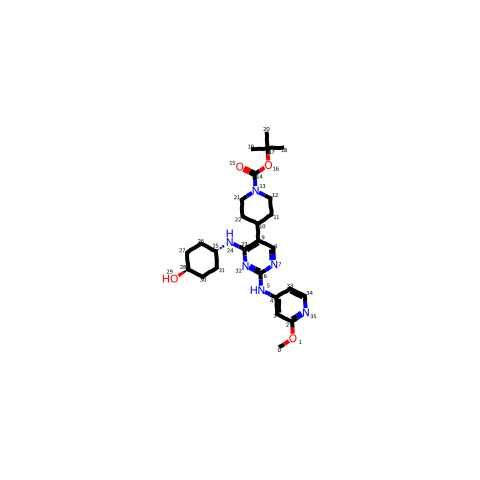 COc1cc(Nc2ncc(C3CCN(C(=O)OC(C)(C)C)CC3)c(N[C@H]3CC[C@H](O)CC3)n2)ccn1